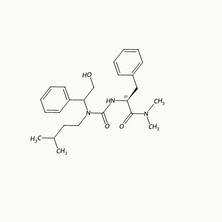 CC(C)CCN(C(=O)N[C@@H](Cc1ccccc1)C(=O)N(C)C)C(CO)c1ccccc1